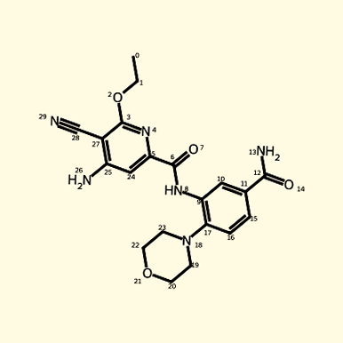 CCOc1nc(C(=O)Nc2cc(C(N)=O)ccc2N2CCOCC2)cc(N)c1C#N